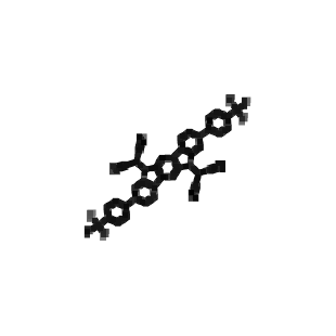 N#CC(C#N)C1c2cc(-c3ccc(C(F)(F)F)cc3)ccc2-c2cc3c(cc21)-c1ccc(-c2ccc(C(F)(F)F)cc2)cc1C3C(C#N)C#N